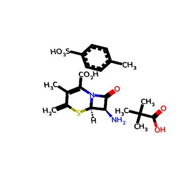 C=C1S[C@@H]2[C@H](N)C(=O)N2C(C(=O)O)=C1C.CC(C)(C)C(=O)O.Cc1ccc(S(=O)(=O)O)cc1